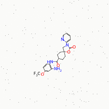 Nc1cc(OC(F)(F)F)ccc1NC(=O)C1CCC2(CC1)CN(c1ccccn1)C(=O)O2